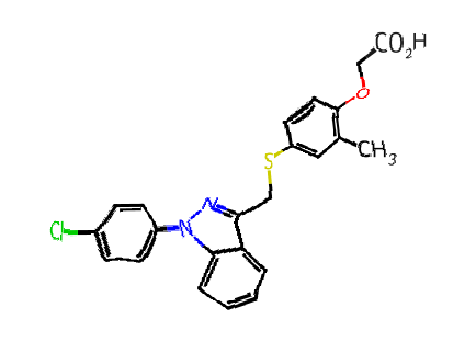 Cc1cc(SCc2nn(-c3ccc(Cl)cc3)c3ccccc23)ccc1OCC(=O)O